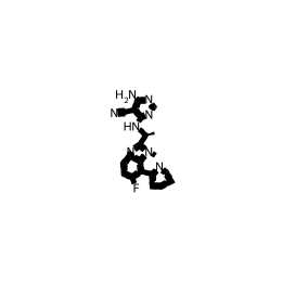 C[C@H](Nc1ncnc(N)c1C#N)c1nc2ccc(F)c(-c3ccccn3)c2n1C